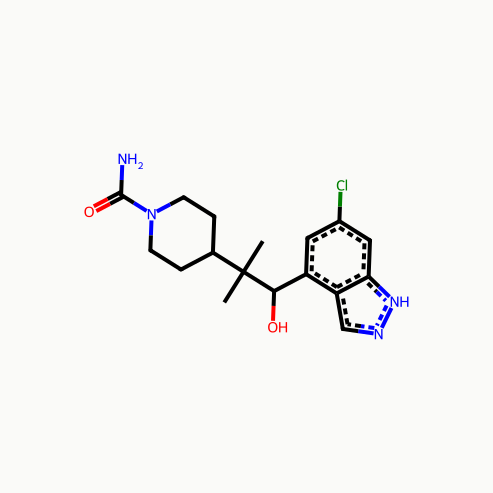 CC(C)(C1CCN(C(N)=O)CC1)C(O)c1cc(Cl)cc2[nH]ncc12